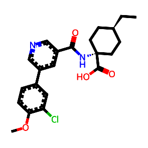 CC[C@H]1CC[C@@](NC(=O)c2cncc(-c3ccc(OC)c(Cl)c3)c2)(C(=O)O)CC1